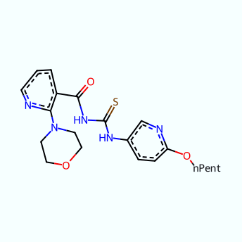 CCCCCOc1ccc(NC(=S)NC(=O)c2cccnc2N2CCOCC2)cn1